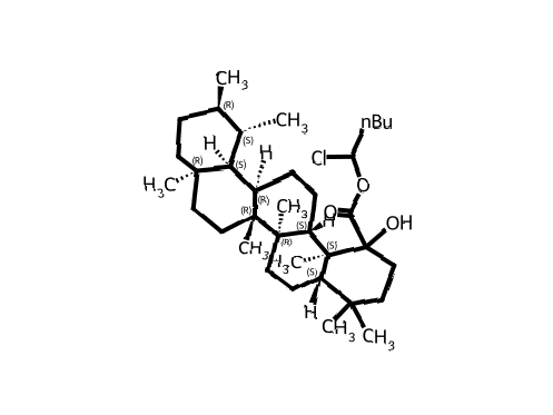 CCCCC(Cl)OC(=O)C1(O)CCC(C)(C)[C@@H]2CC[C@]3(C)[C@H](CC[C@@H]4[C@@H]5[C@@H](C)[C@H](C)CC[C@]5(C)CC[C@]43C)[C@]21C